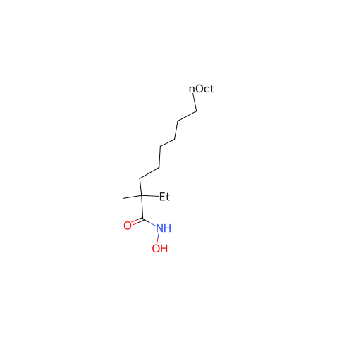 CCCCCCCCCCCCCCC(C)(CC)C(=O)NO